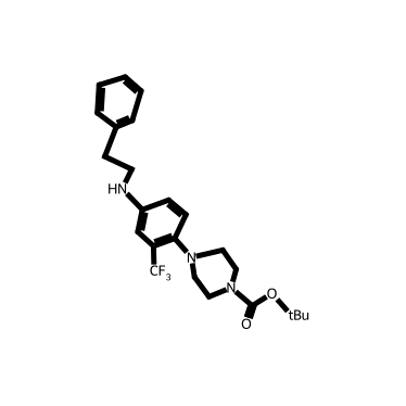 CC(C)(C)OC(=O)N1CCN(c2ccc(NCCc3ccccc3)cc2C(F)(F)F)CC1